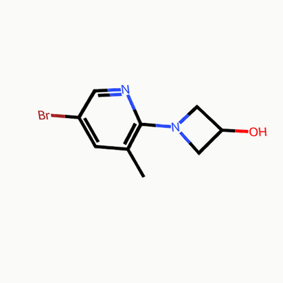 Cc1cc(Br)cnc1N1CC(O)C1